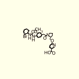 COc1cc(CC(=O)N2CCC[C@H]2COc2ccc(C(=O)O)cn2)ccc1NC(=O)Nc1ccccc1Br